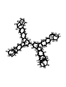 c1c2c(cc3cc4c(cc13)c1cc(-c3cc5c6cc7cc8c(cc7cc6n6c7cc9cc%10c(cc9cc7c(c3)c56)C3CC5CC(C3)CC%10C5)C3CC5CC(CC8C5)C3)cc3c5cc6cc7c(cc6cc5n4c13)C1CC3CC(CC7C3)C1)C1CC3CC(CC2C3)C1